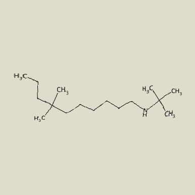 CCCC(C)(C)CCCCCCNC(C)(C)C